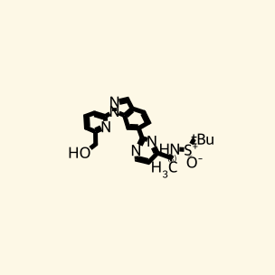 C[C@@H](N[S+]([O-])C(C)(C)C)c1ccnc(-c2ccc3cnn(-c4cccc(CO)n4)c3c2)n1